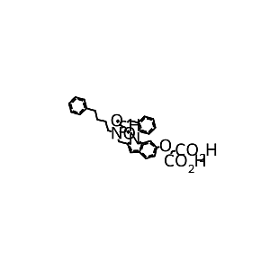 O=C(O)C(Oc1ccc2cc(CN(CCCCc3ccccc3)S(=O)(=O)Cc3ccccc3)[nH]c2c1)C(=O)O